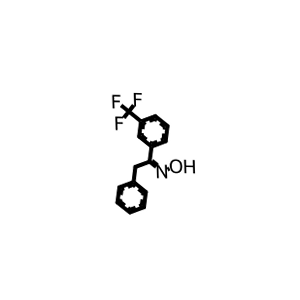 ON=C(Cc1ccccc1)c1cccc(C(F)(F)F)c1